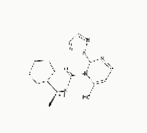 C[C@H](NC(=O)N1C(O)=CC=NC1n1cccn1)C1CCCCC1